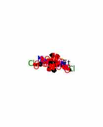 C=N/C=C\C(=C/C)CC(C(=O)N(CC)C1CCCC(OC(=O)C(=C)Cl)C1)N1C(=O)c2cc(Oc3ccccc3)c3c4c(Oc5ccccc5)cc5c6c(cc(Oc7ccccc7)c(c7c(Oc8ccccc8)cc(c2c37)C1=O)c64)C(=O)N(C(Cc1ccncc1)C(=O)N(CC)C1CCCC(OC(=O)C(=C)Cl)C1)C5=O